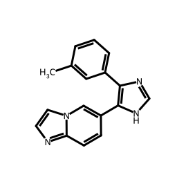 Cc1cccc(-c2nc[nH]c2-c2ccc3nccn3c2)c1